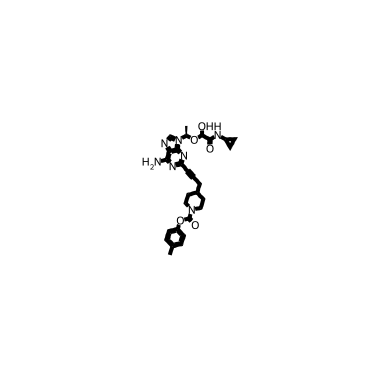 Cc1ccc(OC(=O)N2CCC(CC#Cc3nc(N)c4ncn([C@@H](C)OC(O)C(=O)NC5CC5)c4n3)CC2)cc1